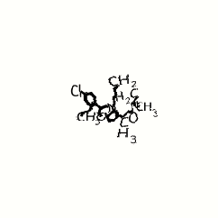 C=CCCCCN1CC(c2ccc(Cl)cc2CCC)COc2ccc(C(C)CC(=O)N(C)CC=C)cc21